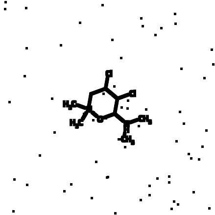 C[SiH](C)C1O[Si](C)(C)CC(Cl)C1Cl